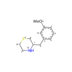 COc1cccc(CC2CSCCN2)c1